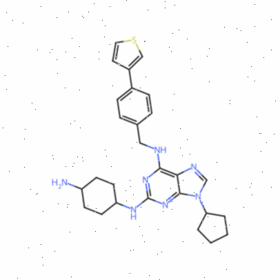 NC1CCC(Nc2nc(NCc3ccc(-c4ccsc4)cc3)c3ncn(C4CCCC4)c3n2)CC1